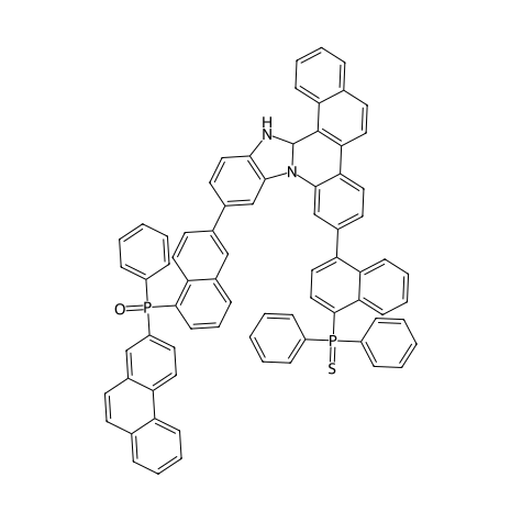 O=P(c1ccccc1)(c1ccc2c(ccc3ccccc32)c1)c1cccc2cc(-c3ccc4c(c3)N3c5cc(-c6ccc(P(=S)(c7ccccc7)c7ccccc7)c7ccccc67)ccc5-c5ccc6ccccc6c5C3N4)ccc12